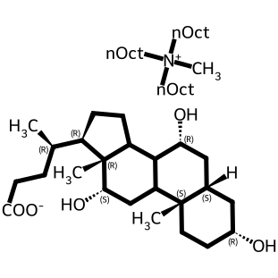 CCCCCCCC[N+](C)(CCCCCCCC)CCCCCCCC.C[C@H](CCC(=O)[O-])[C@H]1CCC2C3C(C[C@H](O)[C@@]21C)[C@@]1(C)CC[C@@H](O)C[C@H]1C[C@H]3O